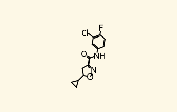 O=C(Nc1ccc(F)c(Cl)c1)C1=NOC(C2CC2)C1